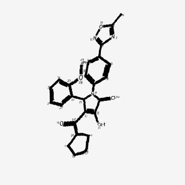 Cc1nc(-c2ccc(N3C(=O)C(O)=C(C(=O)C4CCCC4)C3c3ccccc3OC(C)C)cc2)no1